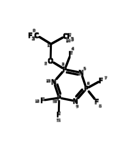 FC(F)(F)C(OP1(F)=NP(F)(F)=NP(F)(F)=N1)C(F)(F)F